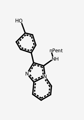 CCCCCNc1c(-c2ccc(O)cc2)nc2ccccn12